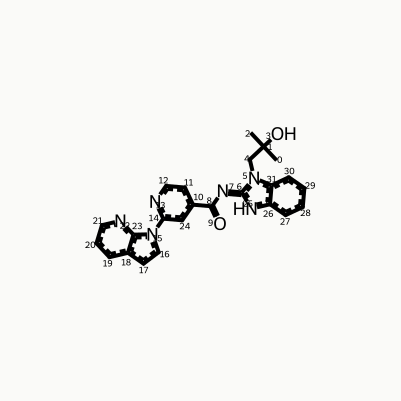 CC(C)(O)Cn1/c(=N/C(=O)c2ccnc(-n3ccc4cccnc43)c2)[nH]c2ccccc21